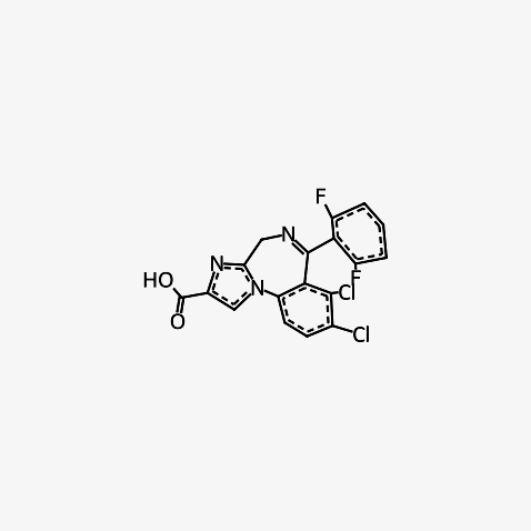 O=C(O)c1cn2c(n1)CN=C(c1c(F)cccc1F)c1c-2ccc(Cl)c1Cl